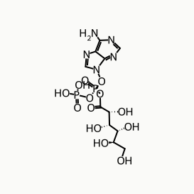 Nc1ncnc2c1ncn2OP(=O)(OC(=O)[C@H](O)[C@@H](O)[C@H](O)[C@H](O)CO)OP(=O)(O)O